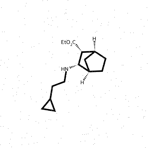 CCOC(=O)[C@@H]1[C@H]2CC[C@H](C2)[C@@H]1NCCC1CC1